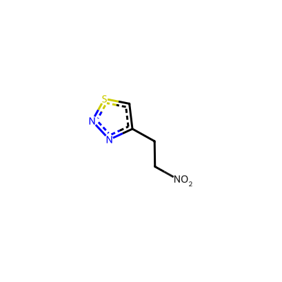 O=[N+]([O-])CCc1csnn1